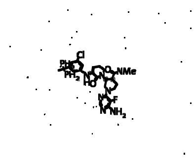 CNC(=O)[C@H]1CCN(c2ncnc(N)c2F)C[C@@H]1N1CCC[C@@H](Nc2cc(Cl)cc(C(C)(P)P)c2)C1=O